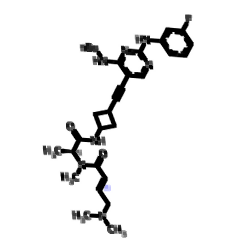 CCCCNc1nc(Nc2cccc(F)c2)ncc1C#CC1CC(NC(=O)[C@H](C)N(C)C(=O)/C=C/CN(C)C)C1